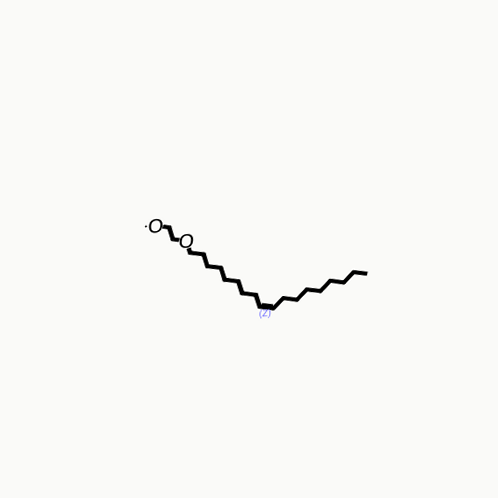 CCCCCCCC/C=C\CCCCCCCCOCC[O]